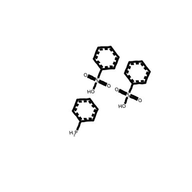 O=S(=O)(O)c1ccccc1.O=S(=O)(O)c1ccccc1.Pc1ccccc1